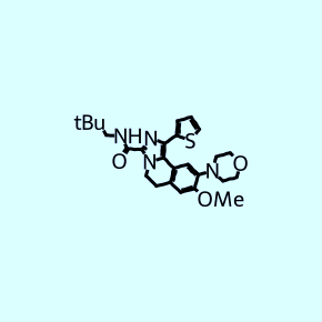 COc1cc2c(cc1N1CCOCC1)-c1c(-c3cccs3)nc(C(=O)NCC(C)(C)C)n1CC2